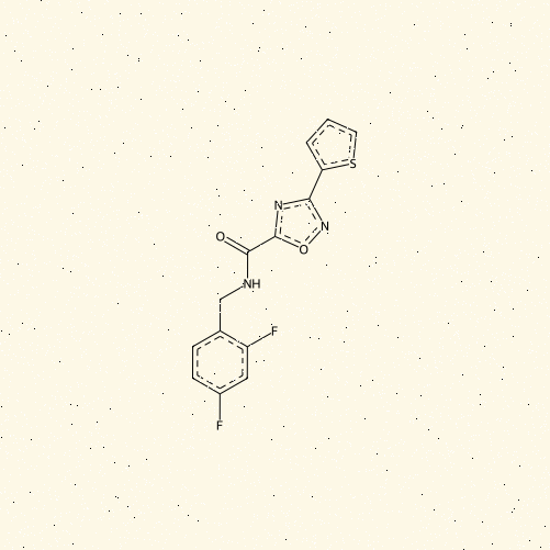 O=C(NCc1ccc(F)cc1F)c1nc(-c2cccs2)no1